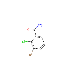 NC(=O)c1c[c]cc(Br)c1Cl